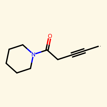 [CH2]C#CCC(=O)N1CCCCC1